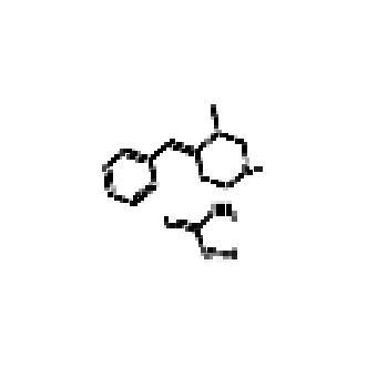 CC1CNCCC1=Cc1ccccc1.CCCCCC(N)=O